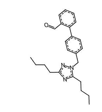 CCCCc1nc(CCCC)n(Cc2ccc(-c3ccccc3C=O)cc2)n1